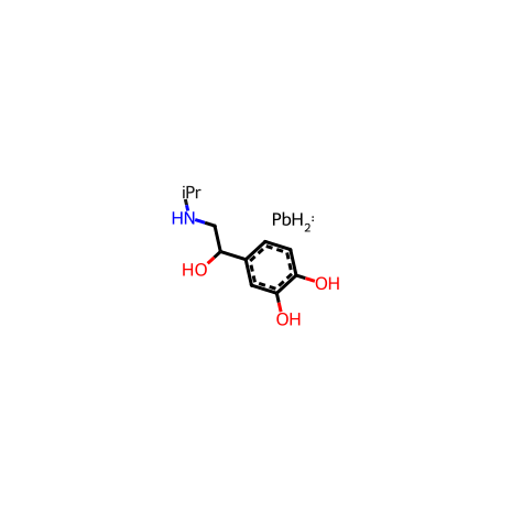 CC(C)NCC(O)c1ccc(O)c(O)c1.[PbH2]